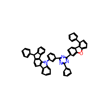 c1ccc(-c2nc(-c3cccc(-n4c5ccccc5c5ccc6c(c54)-c4ccccc4C6c4ccccc4)c3)nc(-c3ccc4c(c3)oc3cccc(-c5ccccc5)c34)n2)cc1